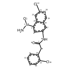 N[S+]([O-])c1cc(NC(=O)Cc2ccccc2Cl)cc2cnc(Cl)cc12